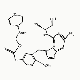 CCCCC(CO)Nc1nc(N)nc2ccn(Cc3cc(CC(=O)OCC(=O)N4CCOCC4)ccc3OC)c12